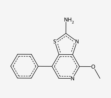 COc1ncc(-c2ccccc2)c2sc(N)nc12